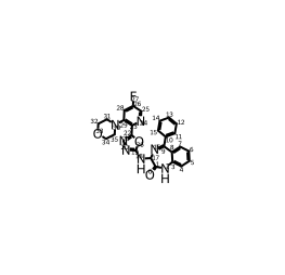 O=C1Nc2ccccc2C(c2ccccc2)=NC1Nc1nnc(-c2ncc(F)cc2N2CCOCC2)o1